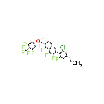 CCCc1cc(F)c(-c2cc3ccc(C(F)(F)Oc4cc(F)c(C(F)(F)F)c(F)c4)c(F)c3c(F)c2F)c(Cl)c1